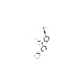 CC(C)(C)C#Cc1ccc2c(c1)[C@]1(COC(N)=N1)c1cc(C3=CCOCC3)ncc1O2